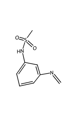 C=Nc1cccc(NS(C)(=O)=O)c1